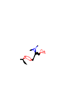 CC(C)OCC(CO)N(C)C